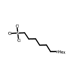 CCCCCCCCCCCCS(Cl)(Cl)Cl